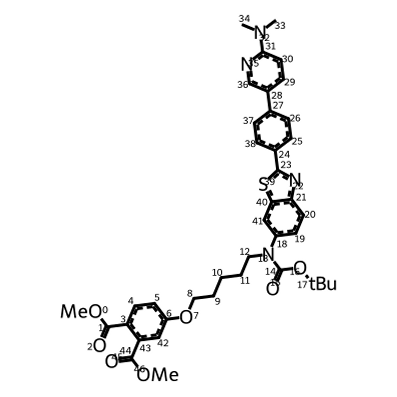 COC(=O)c1ccc(OCCCCCN(C(=O)OC(C)(C)C)c2ccc3nc(-c4ccc(-c5ccc(N(C)C)nc5)cc4)sc3c2)cc1C(=O)OC